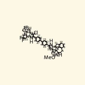 COC(=O)N[C@H]1CCc2cccc3c2N(C1=O)[C@H](c1ncc(-c2ccc(-c4ccc(-c5[nH]c([C@@H]6CC(F)(F)CN6C(=O)OC(C)(C)C)nc5Cl)cc4)cc2)[nH]1)C3